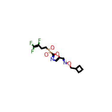 O=S(=O)(CCC(F)=C(F)F)c1ncc(/C=N/OCC2CCC2)o1